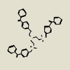 C[N+](C)(CCN(CCc1ccc(C(=O)c2ccccc2)cc1)CC[N+](C)(C)Cc1ccc(C(=O)c2ccccc2)cc1)Cc1ccc(C(=O)c2ccccc2)cc1